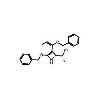 CC=C(OCc1ccccc1)C1=C(OCc2ccccc2)N[C@H]1[C@@H](C)Br